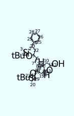 CC(C)(C)[Si](C)(C)OC(C=C[C@@H]1[C@H]2CC(O)O[C@H]2C[C@H]1O[Si](C)(C)C(C)(C)C)CCc1ccccc1